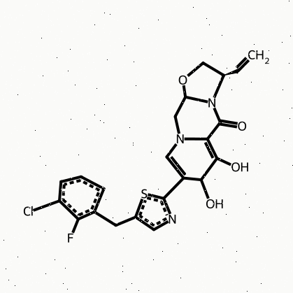 C=C[C@@H]1COC2CN3C=C(c4ncc(Cc5cccc(Cl)c5F)s4)C(O)C(O)=C3C(=O)N21